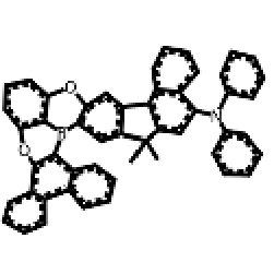 CC1(C)c2cc3c(cc2-c2c1cc(N(c1ccccc1)c1ccccc1)c1ccccc21)Oc1cccc2c1B3c1c(c3ccccc3c3ccccc13)O2